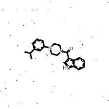 CC(C)c1[c]ccc(N2CCN(C(=O)c3c[nH]c4ccccc34)CC2)c1